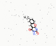 CC1C=Cc2oc3nc(=O)[nH]c(=O)c-3cc2C1